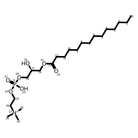 CCCCCCCCCCCCCC(=O)OC[C@H](O)COP(=O)(O)OCC[N+](C)(C)C